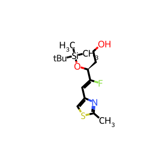 Cc1nc(C=C(F)[C@H](CCO)O[Si](C)(C)C(C)(C)C)cs1